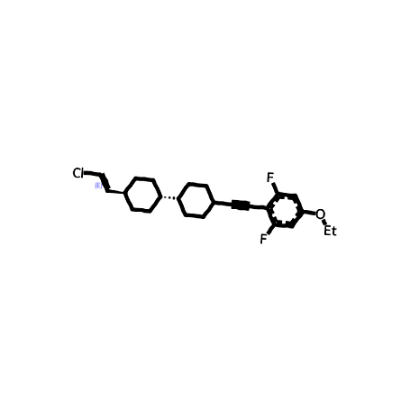 CCOc1cc(F)c(C#CC2CCC([C@H]3CC[C@H](/C=C/Cl)CC3)CC2)c(F)c1